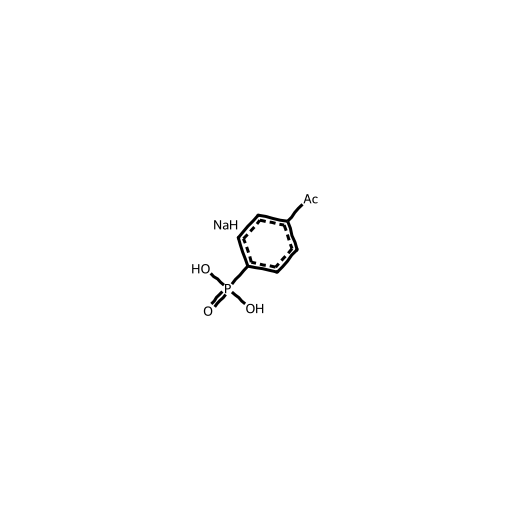 CC(=O)c1ccc(P(=O)(O)O)cc1.[NaH]